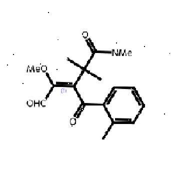 CNC(=O)C(C)(C)/C(C(=O)c1ccccc1C)=C(/C=O)OC